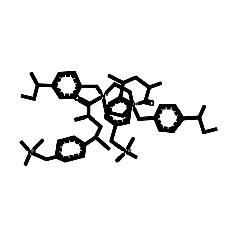 CCC(C)c1ccc(C[N+]2(C(=O)C(C)CC(C)c3ccc(C[N+](C)(C)C)cc3)CC[N+](Cc3ccc(C(C)CC)cc3)(C(=O)C(C)CC(C)c3ccc(C[N+](C)(C)C)cc3)CC2)cc1